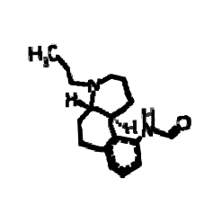 CCCN1CCC[C@H]2c3c(cccc3NC=O)CC[C@@H]21